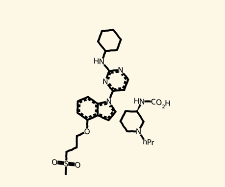 CCCN1CCC[C@@H](NC(=O)O)C1.CS(=O)(=O)CCCOc1cccc2c1ccn2-c1ccnc(NC2CCCCC2)n1